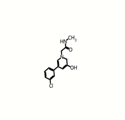 CNC(=O)CN1[CH]C(O)=CC(c2cccc(Cl)c2)=C1